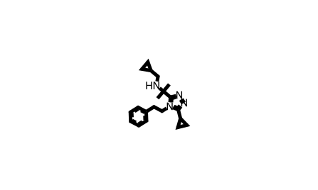 CC(C)(NCC1CC1)c1nnc(C2CC2)n1CCc1ccccc1